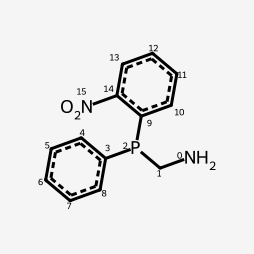 NCP(c1ccccc1)c1ccccc1[N+](=O)[O-]